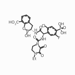 CCN1CCN(C(=O)N[C@@H](C(=O)N[C@H]2Cc3cccc(C(=O)O)c3OB2O)c2cc(F)c(P(=O)(O)O)cc2Cl)C(=O)C1=O